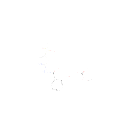 CC(C)OC(=O)OCOc1ccccc1C(=O)Nc1ncc(S(C)(=O)=O)s1